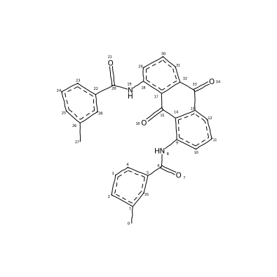 Cc1cccc(C(=O)Nc2cccc3c2C(=O)c2c(NC(=O)c4cccc(C)c4)cccc2C3=O)c1